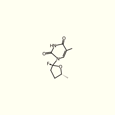 Cc1cn([C@@]2(F)CC[C@@H](C)O2)c(=O)[nH]c1=O